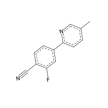 Cc1ccc(-c2ccc(C#N)c(F)c2)nc1